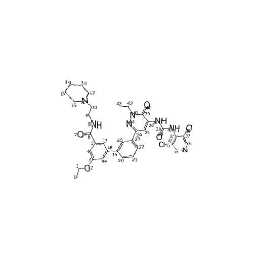 CCOc1cc(C(=O)NCCN2CCCCC2)cc(-c2cccc(-c3cc(NC(=O)Nc4c(Cl)cncc4Cl)c(=O)n(CC)n3)c2)c1